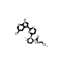 C[C@H]1CC[C@H](C(=O)NCC(F)(F)F)N1c1ccnc(-c2c[nH]c3ncc(Cl)cc23)n1